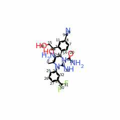 CC1=C(N)[C@@H](c2ccc(C#N)cc2C(O)CO)N(C(N)=O)C(=N)N1c1cccc(C(F)F)c1